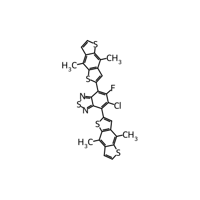 Cc1c2cc(-c3c(F)c(Cl)c(-c4cc5c(C)c6sccc6c(C)c5s4)c4nsnc34)sc2c(C)c2ccsc12